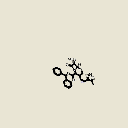 Cc1snnc1/C=C\C1CS[C@H]2C(N)C(=O)[N+]2=C1C(=O)OC(c1ccccc1)c1ccccc1